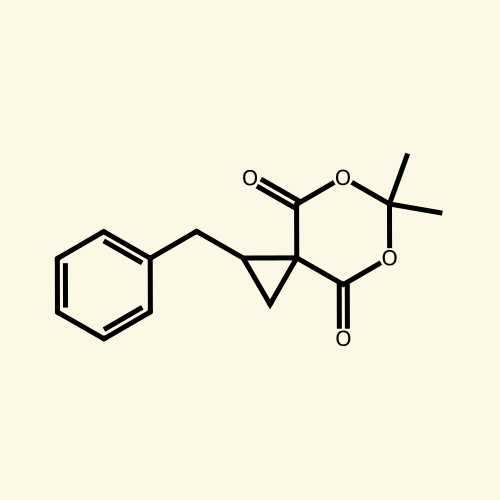 CC1(C)OC(=O)C2(CC2Cc2ccccc2)C(=O)O1